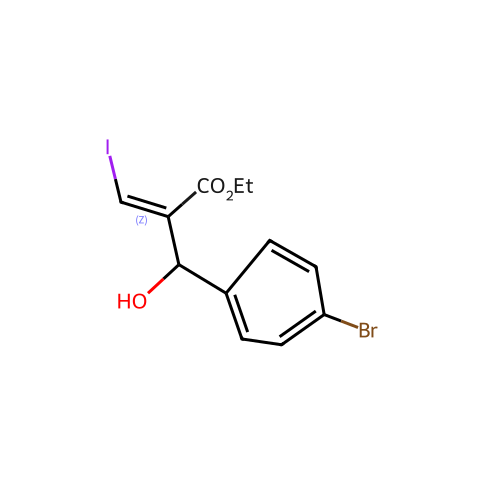 CCOC(=O)/C(=C\I)C(O)c1ccc(Br)cc1